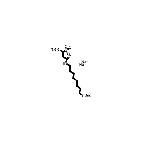 CCCCCCCCCCCCCCCCCCNC(=O)CC(C(=O)[O-])S(=O)(=O)[O-].[Na+].[Na+]